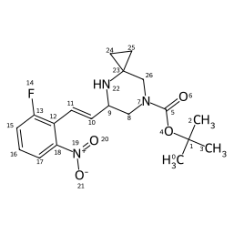 CC(C)(C)OC(=O)N1CC(C=Cc2c(F)cccc2[N+](=O)[O-])NC2(CC2)C1